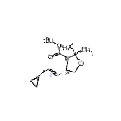 CC(C)(C)OC(=O)N1[C@@H](/C=C/C2CC2)COC1(C)C